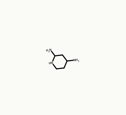 N[C]1CCNC(N)C1